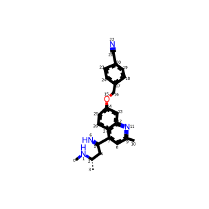 CN[C@@H](C)CC(=N)c1cc(C)nc2cc(OCc3ccc(C#N)cc3)ccc12